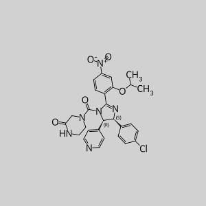 CC(C)Oc1cc([N+](=O)[O-])ccc1C1=N[C@@H](c2ccc(Cl)cc2)[C@@H](c2ccncc2)N1C(=O)N1CCNC(=O)C1